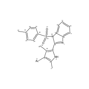 CC(=O)c1c(C)[nH]c(-c2nc3ccccc3n2S(=O)(=O)c2ccc(C)cc2)c1C